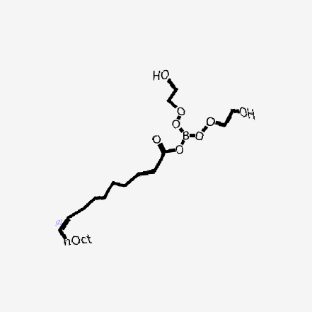 CCCCCCCC/C=C\CCCCCCCC(=O)OB(OOCCO)OOCCO